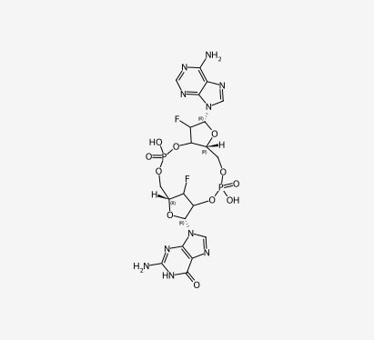 Nc1nc2c(ncn2[C@@H]2O[C@@H]3COP(=O)(O)OC4C(F)[C@H](n5cnc6c(N)ncnc65)O[C@@H]4COP(=O)(O)OC2C3F)c(=O)[nH]1